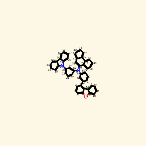 c1cc(-c2cccc3oc4ccccc4c23)cc(N(c2cccc(-n3c4ccccc4c4ccccc43)c2)c2cc3ccccc3c3ccccc23)c1